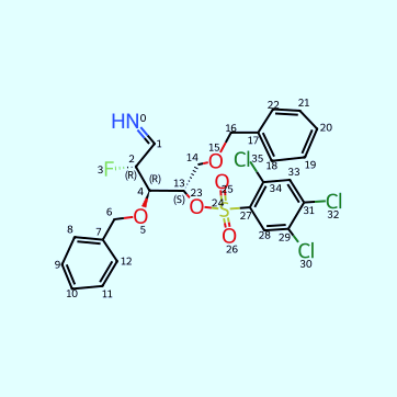 N=C[C@@H](F)[C@H](OCc1ccccc1)[C@H](COCc1ccccc1)OS(=O)(=O)c1cc(Cl)c(Cl)cc1Cl